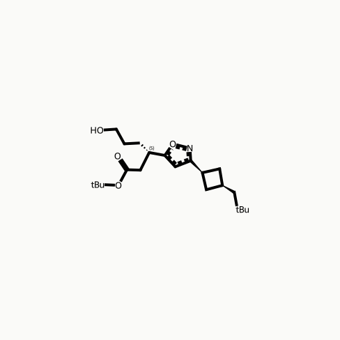 CC(C)(C)C[C@H]1C[C@@H](c2cc([C@@H](CCCO)CC(=O)OC(C)(C)C)on2)C1